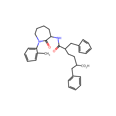 Cc1ccccc1N1CCCCC(NC(=O)C(CCC(Cc2ccccc2)C(=O)O)Cc2ccccc2)C1=O